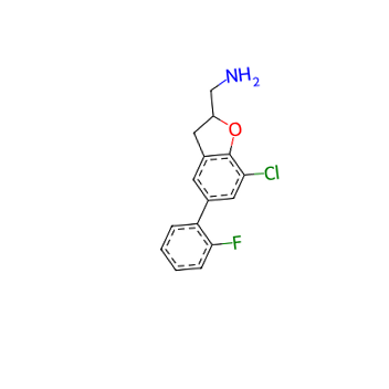 NCC1Cc2cc(-c3ccccc3F)cc(Cl)c2O1